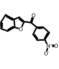 O=C(c1ccc([N+](=O)[O-])cc1)c1cc2ccccc2o1